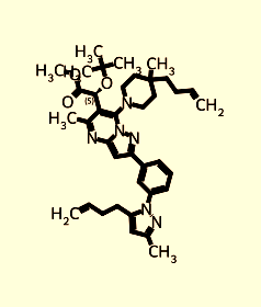 C=CCCc1cc(C)nn1-c1cccc(-c2cc3nc(C)c([C@H](OC(C)(C)C)C(=O)OC)c(N4CCC(C)(CCC=C)CC4)n3n2)c1